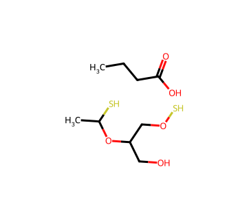 CC(S)OC(CO)COS.CCCC(=O)O